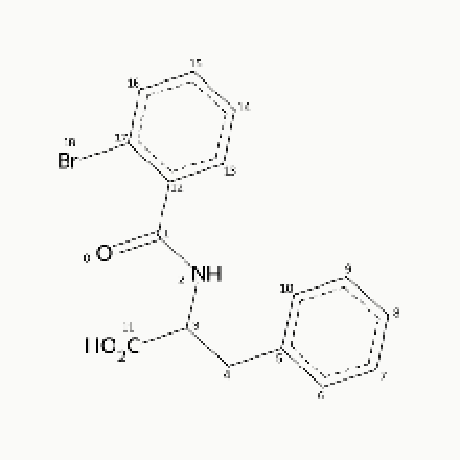 O=C(NC(Cc1ccccc1)C(=O)O)c1ccccc1Br